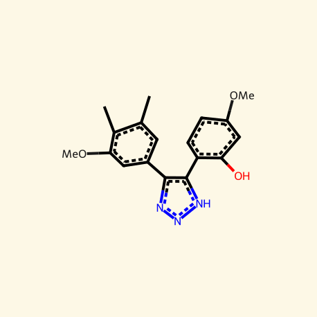 COc1ccc(-c2[nH]nnc2-c2cc(C)c(C)c(OC)c2)c(O)c1